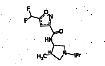 CC(C)N1CC(NC(=O)c2cc(C(F)F)on2)[C@@H](C)C1